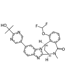 CN1C(=O)c2cccc(OC(F)F)c2[C@H]2C[C@@H]1c1nc3ccc(-c4cnc(C(C)(C)O)nc4)cc3n12